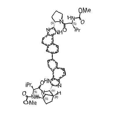 COC(=O)N[C@H](C(=O)N1CCC[C@H]1c1nc2ccc3cc(-c4ccc5c(ccc6nc([C@@H]7[C@@H]8CC[C@@H](C8)N7C(=O)[C@@H](NC(=O)OC)C(C)C)[nH]c65)c4)ccc3c2[nH]1)C(C)C